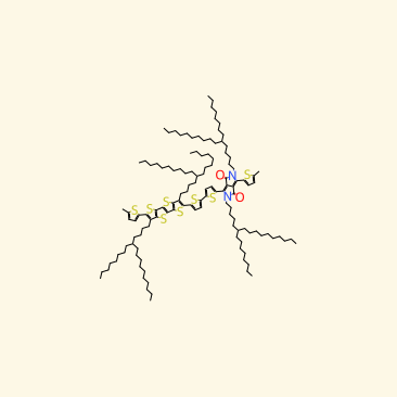 CCCCCCCCCCC(CCCCCCCC)CCCCCN1C(=O)C2=C(c3ccc(-c4ccc(-c5sc6c(sc7c8sc(-c9ccc(C)s9)c(CCCCC(CCCCCCCC)CCCCCCCCCC)c8sc67)c5CCCCC(CCCCCCCC)CCCCCCCCCC)s4)s3)N(CCCCCC(CCCCCCCC)CCCCCCCCCC)C(=O)C2=C1c1ccc(C)s1